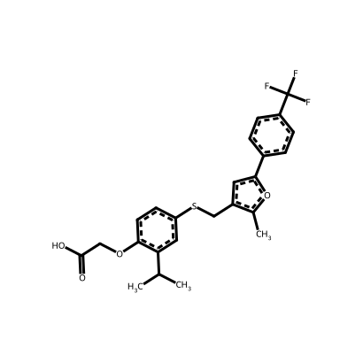 Cc1oc(-c2ccc(C(F)(F)F)cc2)cc1CSc1ccc(OCC(=O)O)c(C(C)C)c1